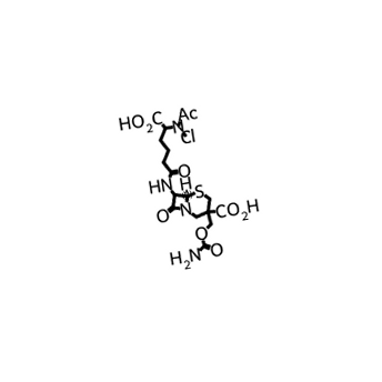 CC(=O)N(Cl)C(CCCC(=O)NC1C(=O)N2CC(COC(N)=O)(C(=O)O)CS[C@H]12)C(=O)O